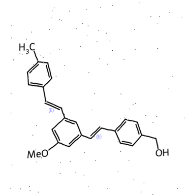 COc1cc(/C=C/c2ccc(C)cc2)cc(/C=C/c2ccc(CO)cc2)c1